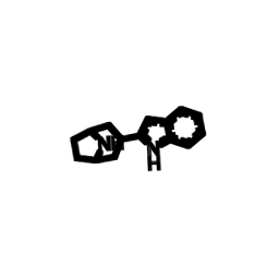 c1ccc2[nH]c(C3CC4CCC(C3)N4)cc2c1